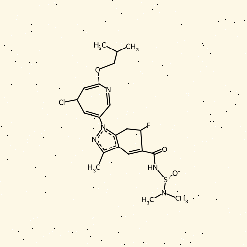 Cc1nn(C2=CC(Cl)C=C(OCC(C)C)N=C2)c2c1C=C(C(=O)N[S+]([O-])N(C)C)C(F)C2